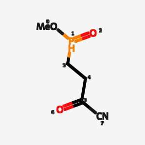 CO[PH](=O)CCC(=O)C#N